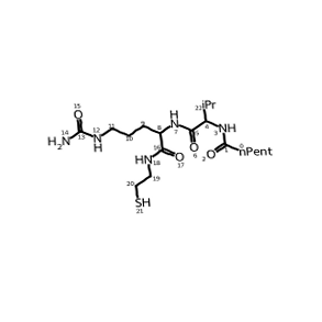 CCCCCC(=O)NC(C(=O)NC(CCCNC(N)=O)C(=O)NCCS)C(C)C